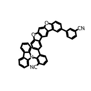 N#Cc1cccc(-c2ccc3oc4cc5oc6ccc(-c7cccc(C#N)c7-n7c8ccccc8c8ccccc87)cc6c5cc4c3c2)c1